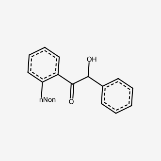 CCCCCCCCCc1ccccc1C(=O)C(O)c1ccccc1